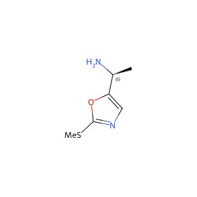 CSc1ncc([C@H](C)N)o1